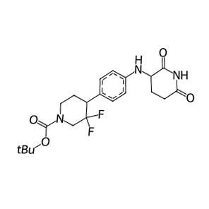 CC(C)(C)OC(=O)N1CCC(c2ccc(NC3CCC(=O)NC3=O)cc2)C(F)(F)C1